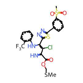 CSCOC(=O)C(=N)/C(Cl)=C(\Nc1ccccc1C(F)(F)F)c1nnc(-c2cccc(S(C)(=O)=O)c2)s1